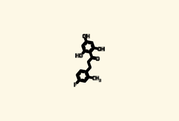 Cc1cc(F)ccc1CCC(=O)c1c(O)cc(O)cc1O